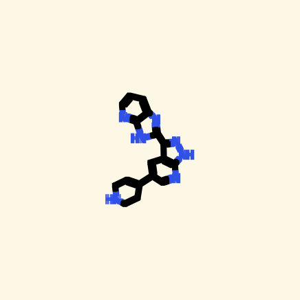 C1=C(c2cnc3[nH]nc(-c4nc5cccnc5[nH]4)c3c2)CCNC1